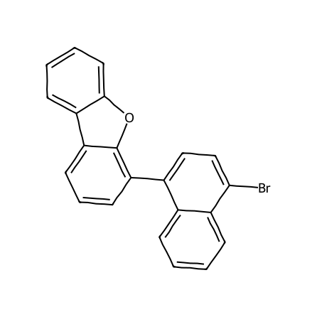 Brc1ccc(-c2cccc3c2oc2ccccc23)c2ccccc12